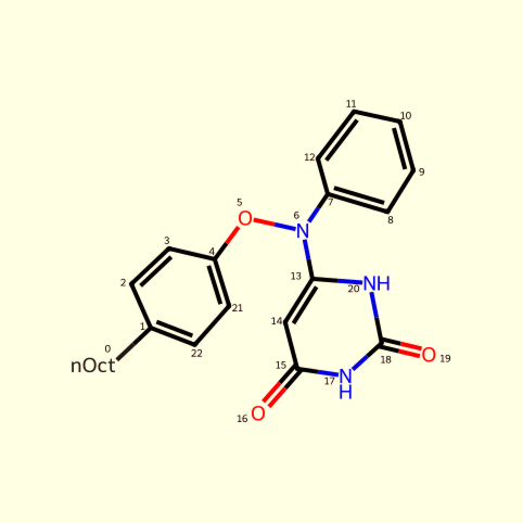 CCCCCCCCc1ccc(ON(c2ccccc2)c2cc(=O)[nH]c(=O)[nH]2)cc1